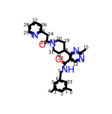 Cc1cc(C)cc(CNC(=O)c2cnc(C)nc2C2CCN(C(=O)Cc3ccccn3)CC2)c1